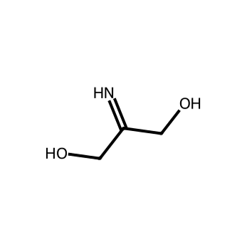 N=C(CO)CO